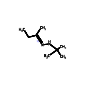 CC/C(C)=N/NC(C)(C)C